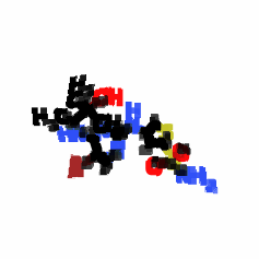 C[C@@H](Nc1nc(Nc2csc(S(N)(=O)=O)c2)ncc1Br)C(C)(C)O